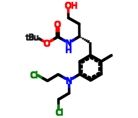 Cc1ccc(N(CCCl)CCCl)cc1C[C@@H](CCO)NC(=O)OC(C)(C)C